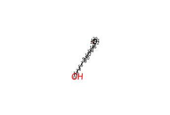 OCCCCCCCCCCCCCCCCc1ccccc1